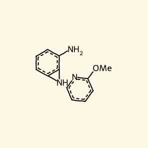 COc1ccccn1.Nc1cccc2c1N2